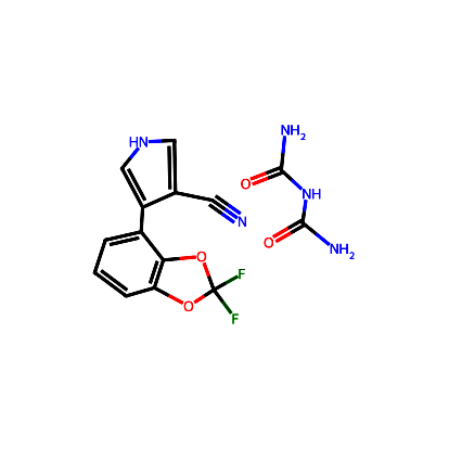 N#Cc1c[nH]cc1-c1cccc2c1OC(F)(F)O2.NC(=O)NC(N)=O